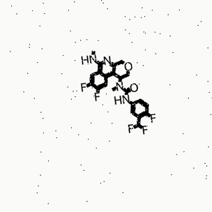 CNc1nc2c(c3cc(F)c(F)cc13)C(N(C)C(=O)Nc1ccc(F)c(C(F)F)c1)COC2